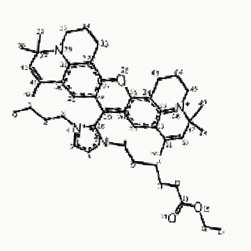 CCCC[n+]1ccn(CCCCCC(=O)OCC)c1C1=c2cc3c4c(c2Oc2c1cc1c5c2CCCN5C(C)(C)C=C1C)CCC[N+]=4C(C)(C)C=C3C